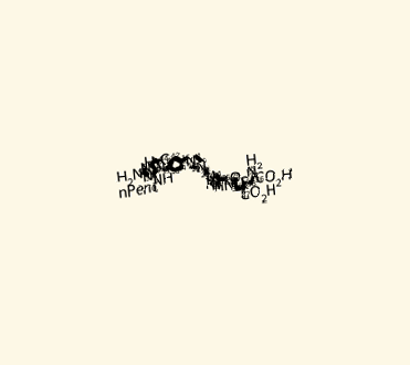 CCCCCNc1nc(N)nc2ccn(Cc3ccc(CN4CCN(CCn5cc(CNC(=O)C[C@@H](SC[C@H](N)C(=O)O)C(=O)O)nn5)CC4)cc3C)c12